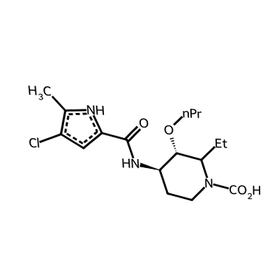 CCCO[C@@H]1C(CC)N(C(=O)O)CC[C@H]1NC(=O)c1cc(Cl)c(C)[nH]1